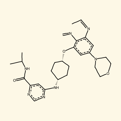 C=Nc1c(/N=C\C)cc(N2CCOCC2)cc1O[C@H]1CC[C@@H](Nc2cc(C(=O)NC(C)C)ncn2)CC1